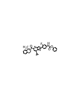 C[C@@H]1c2ccccc2CCN1C(=O)c1cc(C2CC2)c2nn(-c3ccc(NC(=O)Oc4ccccc4)cc3F)cc2n1